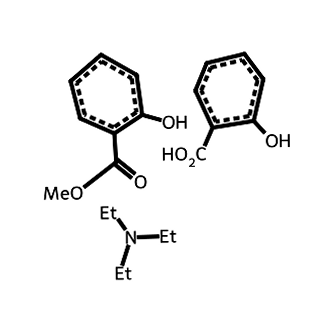 CCN(CC)CC.COC(=O)c1ccccc1O.O=C(O)c1ccccc1O